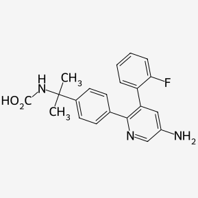 CC(C)(NC(=O)O)c1ccc(-c2ncc(N)cc2-c2ccccc2F)cc1